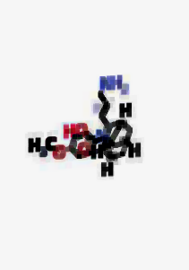 COc1ccc([C@]23C[C@@H]4C[C@H](C2)[C@@H](N(C/C=C/CN)C(=O)O)[C@@H](C4)C3)cc1